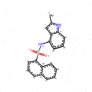 CC(C)(C)c1cc2c(NS(=O)(=O)c3cccc4ccccc34)cccc2[nH]1